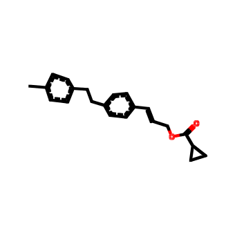 Cc1ccc(CCc2ccc(C=CCOC(=O)C3CC3)cc2)cc1